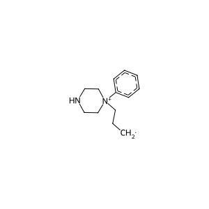 [CH2]CC[N+]1(c2ccccc2)CCNCC1